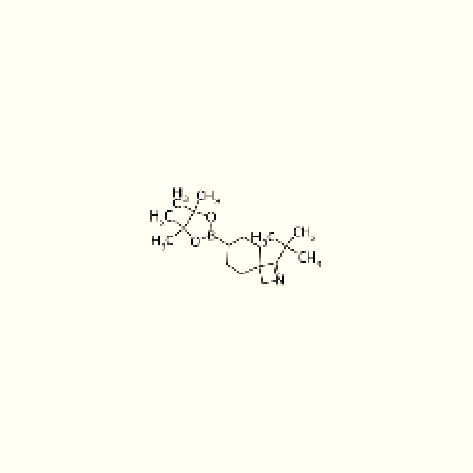 CC(C)(C)C1=NCC12CCC(B1OC(C)(C)C(C)(C)O1)CC2